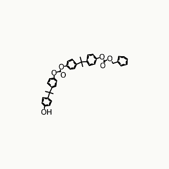 CC(C)(c1ccc(O)cc1)c1ccc(OC(=O)Oc2ccc(C(C)(C)c3ccc(OC(=O)OCc4ccccc4)cc3)cc2)cc1